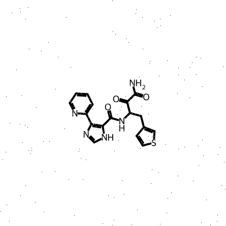 NC(=O)C(=O)C(Cc1ccsc1)NC(=O)c1[nH]cnc1-c1ccccn1